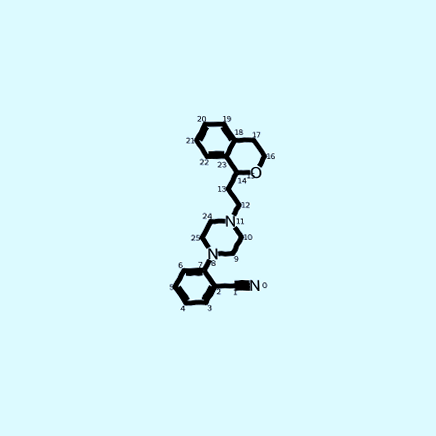 N#Cc1ccccc1N1CCN(CCC2OCCc3ccccc32)CC1